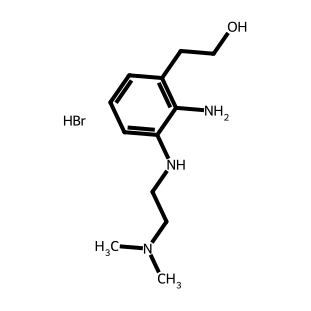 Br.CN(C)CCNc1cccc(CCO)c1N